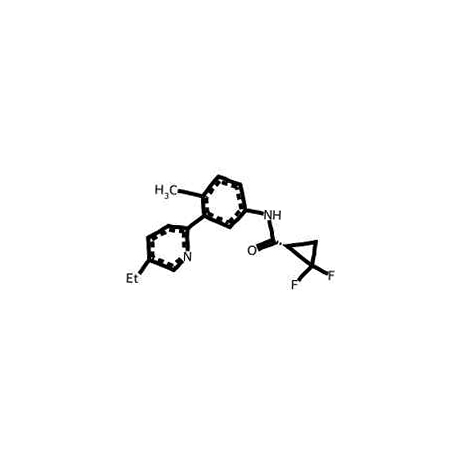 CCc1ccc(-c2cc(NC(=O)[C@@H]3CC3(F)F)ccc2C)nc1